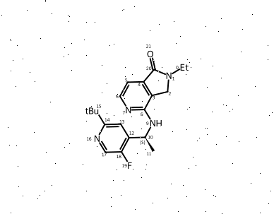 CCN1Cc2c(ccnc2N[C@@H](C)c2cc(C(C)(C)C)ncc2F)C1=O